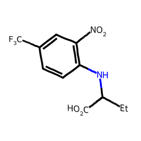 CCC(Nc1ccc(C(F)(F)F)cc1[N+](=O)[O-])C(=O)O